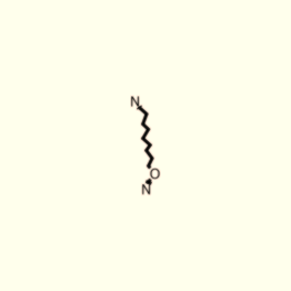 N#CCCCCCCCCOC#N